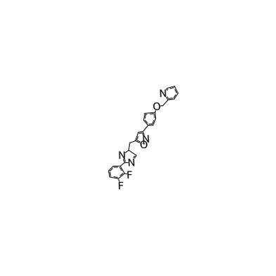 Fc1cccc(C2=NC(Cc3cc(-c4ccc(OCc5ccccn5)cc4)no3)C=N2)c1F